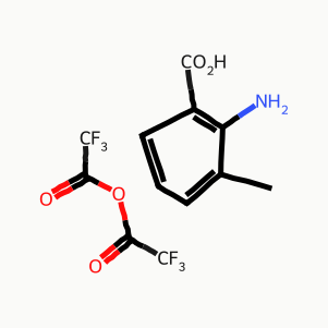 Cc1cccc(C(=O)O)c1N.O=C(OC(=O)C(F)(F)F)C(F)(F)F